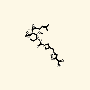 CO[C@@H]1[C@H](OC(=O)N2CC(Cn3cc(C(=O)O)nn3)C2)CC[C@]2(CO2)[C@H]1[C@@]1(C)OC1CC=C(C)C